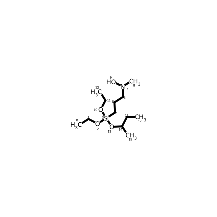 CCO[Si](CCCN(C)O)(OCC)OC(C)CC